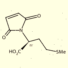 CSCC[C@@H](C(=O)O)N1C(=O)C=CC1=O